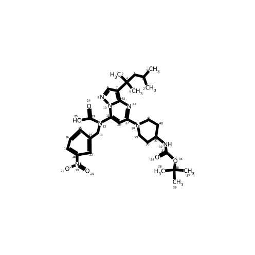 CC(C)CC(C)(C)c1cnn2c(N(Cc3cccc([N+](=O)[O-])c3)C(=O)O)cc(N3CCC(NC(=O)OC(C)(C)C)CC3)nc12